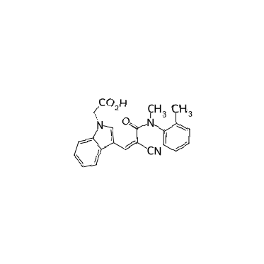 Cc1ccccc1N(C)C(=O)C(C#N)=Cc1cn(CC(=O)O)c2ccccc12